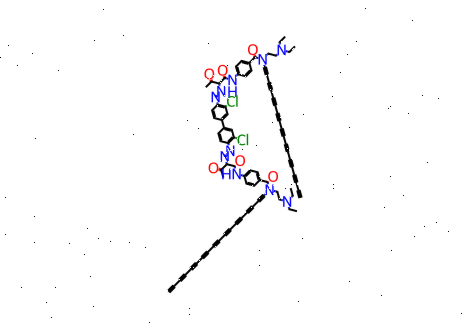 C#CC#CC#CC#CC#CC#CC#CC#CC#CN(CCN(CC)CC)C(=O)c1ccc(NC(=O)C(N=Nc2ccc(-c3ccc(N=NC(C(C)=O)C(=O)Nc4ccc(C(=O)N(C#CC#CC#CC#CC#CC#CC#CC#CC#C)CCN(CC)CC)cc4)c(Cl)c3)cc2Cl)C(C)=O)cc1